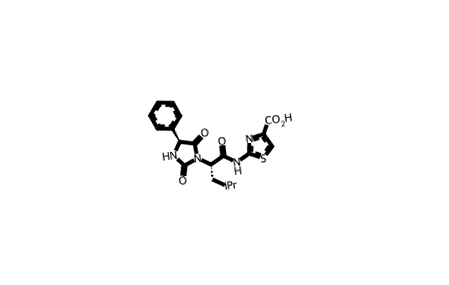 CC(C)C[C@@H](C(=O)Nc1nc(C(=O)O)cs1)N1C(=O)N[C@@H](c2ccccc2)C1=O